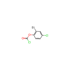 CCc1cc(Cl)ccc1OC(=O)Cl